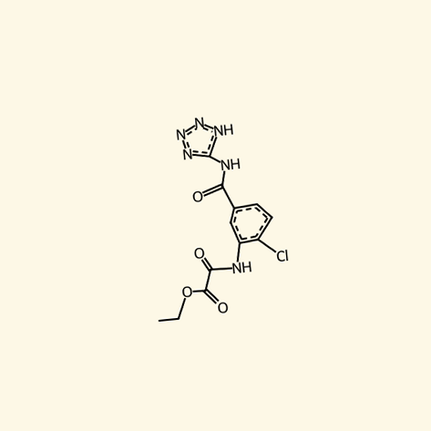 CCOC(=O)C(=O)Nc1cc(C(=O)Nc2nnn[nH]2)ccc1Cl